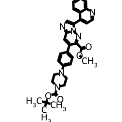 COC(=O)c1nn2c(-c3ccnc4ccccc34)cnc2cc1-c1ccc(N2CCN(C(=O)OC(C)(C)C)CC2)cc1